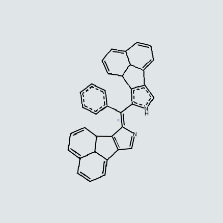 C1=CC2=CC=CC3C4=C(C=N/C4=C(/c4ccccc4)c4[nH]cc5c4C4C=CC=C6C=CC=C5C64)C(=C1)C23